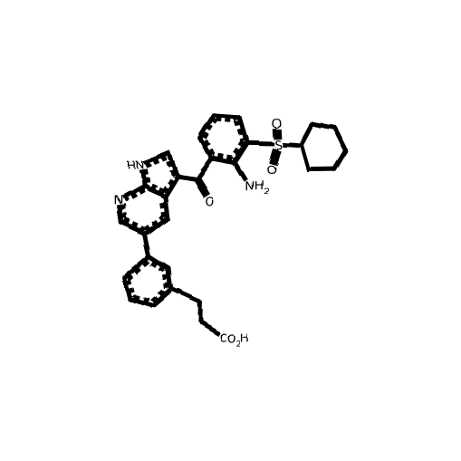 Nc1c(C(=O)c2c[nH]c3ncc(-c4cccc(CCC(=O)O)c4)cc23)cccc1S(=O)(=O)C1CCCCC1